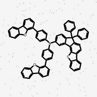 c1ccc(C2(c3ccccc3)c3ccc(N(c4ccc(-c5cccc6c5oc5ccccc56)cc4)c4ccc(-c5cccc6c5oc5ccccc56)cc4)cc3-c3c2ccc2c3sc3ccccc32)cc1